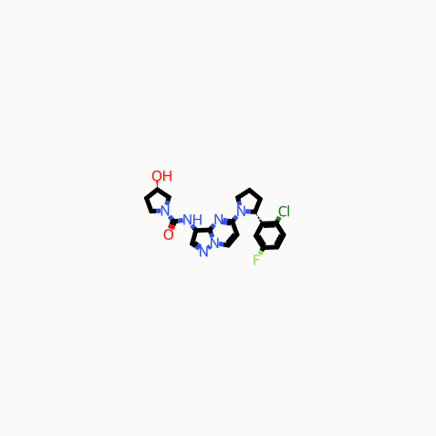 O=C(NC1C=NN2C=CC(N3CCC[C@@H]3c3cc(F)ccc3Cl)=NC12)N1CC[C@H](O)C1